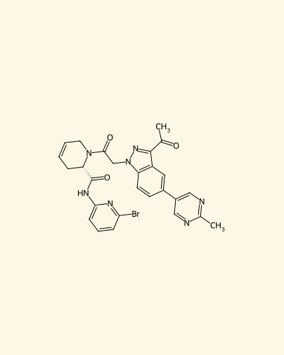 CC(=O)c1nn(CC(=O)N2CC=CC[C@H]2C(=O)Nc2cccc(Br)n2)c2ccc(-c3cnc(C)nc3)cc12